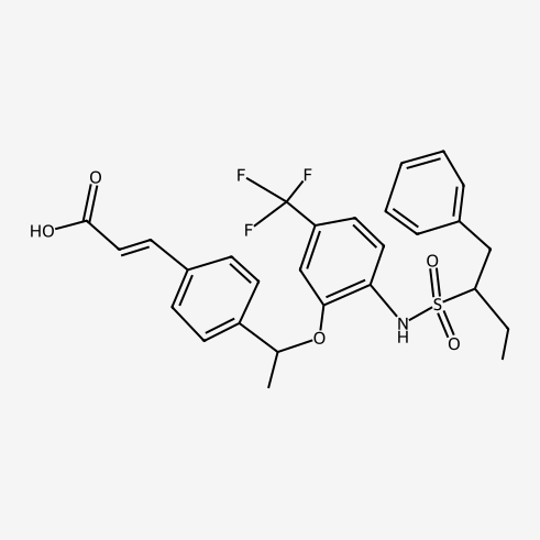 CCC(Cc1ccccc1)S(=O)(=O)Nc1ccc(C(F)(F)F)cc1OC(C)c1ccc(/C=C/C(=O)O)cc1